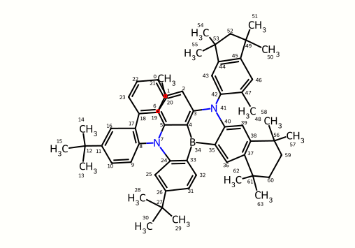 Cc1cc2c3c(c1)N(c1ccc(C(C)(C)C)cc1-c1ccccc1)c1cc(C(C)(C)C)ccc1B3c1cc3c(cc1N2c1cc2c(cc1C)C(C)(C)CC2(C)C)C(C)(C)CCC3(C)C